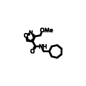 COCc1nocc1C(=O)NCC1CCCCCC1